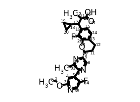 CCOc1cc(-c2ncc([C@H]3CCc4ccc(C(C5CC5)C(C)C(=O)O)c(F)c4O3)nc2C)c(F)cn1